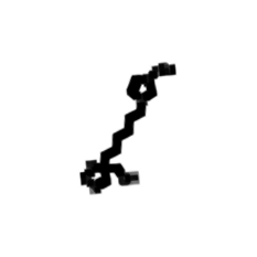 CCCCN1C=CN(CCCCCCC2(CO)C=NN=N2)C1